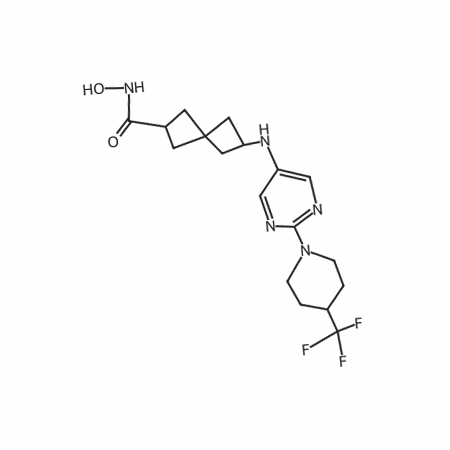 O=C(NO)C1CC2(CC(Nc3cnc(N4CCC(C(F)(F)F)CC4)nc3)C2)C1